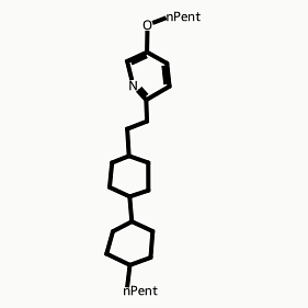 CCCCCOc1ccc(CCC2CCC(C3CCC(CCCCC)CC3)CC2)nc1